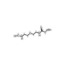 CC(C)(C)OC(=O)NCCOCCNC=O